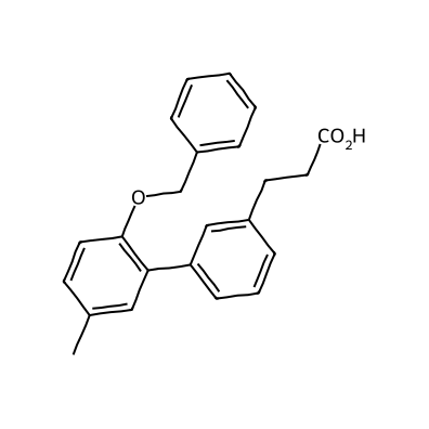 Cc1ccc(OCc2ccccc2)c(-c2cccc(CCC(=O)O)c2)c1